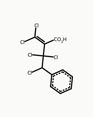 O=C(O)C(=C(Cl)Cl)C(Cl)(Cl)C(Cl)c1ccccc1